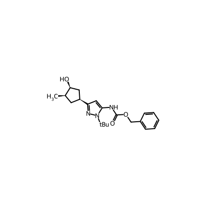 C[C@@H]1C[C@H](c2cc(NC(=O)OCc3ccccc3)n(C(C)(C)C)n2)C[C@@H]1O